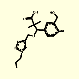 CCCn1cc(COC(c2ccc(C)c(CO)c2)C(C)(C)C(=O)O)nn1